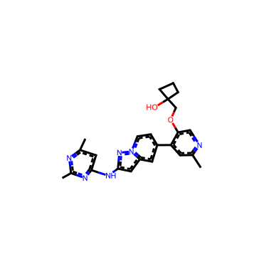 Cc1cc(-c2ccn3nc(Nc4cc(C)nc(C)n4)cc3c2)c(OCC2(O)CCC2)cn1